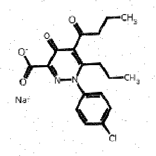 CCCC(=O)c1c(CCC)n(-c2ccc(Cl)cc2)nc(C(=O)[O-])c1=O.[Na+]